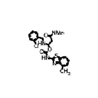 C[N]C(=O)CC(NCc1ccccc1Cl)OC(=O)Nc1nc2c(C)cccc2s1